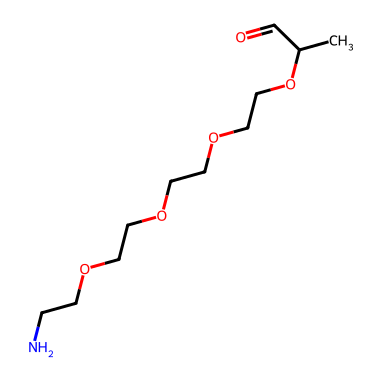 CC(C=O)OCCOCCOCCOCCN